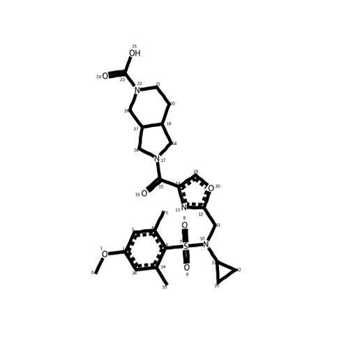 COc1cc(C)c(S(=O)(=O)N(Cc2nc(C(=O)N3CC4CCN(C(=O)O)CC4C3)co2)C2CC2)c(C)c1